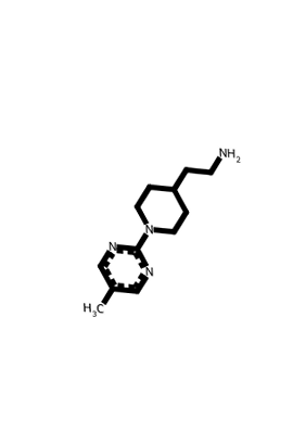 Cc1cnc(N2CCC(CCN)CC2)nc1